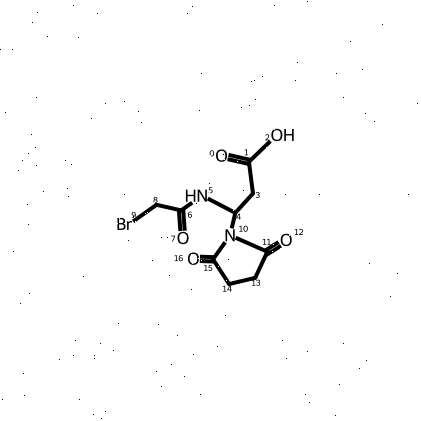 O=C(O)CC(NC(=O)CBr)N1C(=O)CCC1=O